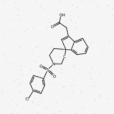 O=C(O)CC1=CC2(CCN(S(=O)(=O)c3ccc(Cl)cc3)CC2)c2ccccc21